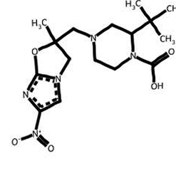 CC1(CN2CCN(C(=O)O)C(C(C)(C)C)C2)Cn2cc([N+](=O)[O-])nc2O1